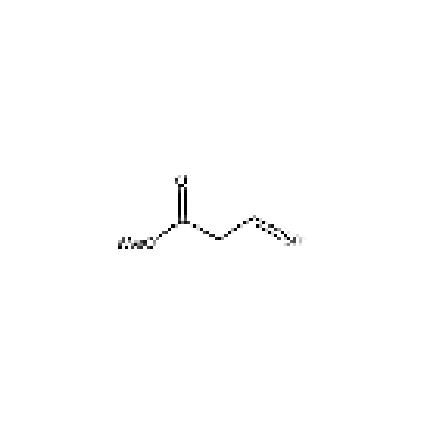 COC(=O)C[CH]=[Sn]